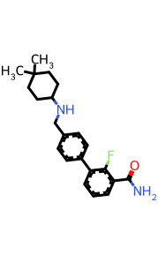 CC1(C)CCC(NCc2ccc(-c3cccc(C(N)=O)c3F)cc2)CC1